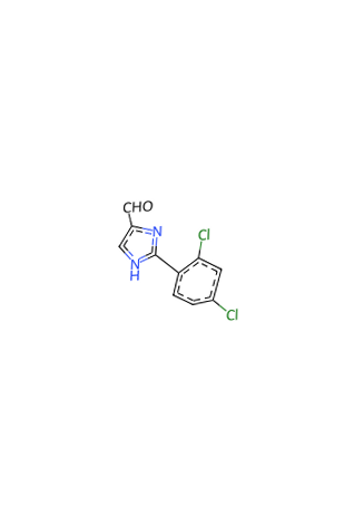 O=Cc1c[nH]c(-c2ccc(Cl)cc2Cl)n1